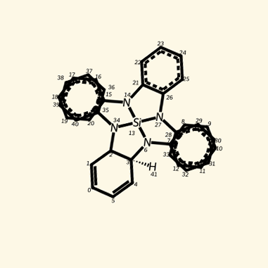 C1=CC2[C@H](C=C1)N(c1ccccc1)[Si]1(N(c3ccccc3)c3ccccc3N1c1ccccc1)N2c1ccccc1